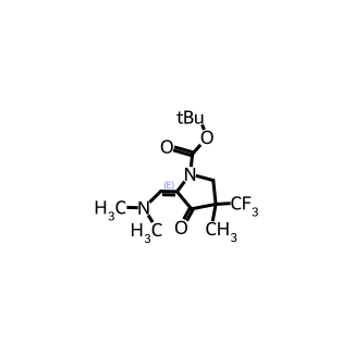 CN(C)/C=C1\C(=O)C(C)(C(F)(F)F)CN1C(=O)OC(C)(C)C